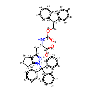 O=C(N[C@@H](Cc1nn(C(c2ccccc2)(c2ccccc2)c2ccccc2)c2c1CCC2)C(=O)O)OCC1c2ccccc2-c2ccccc21